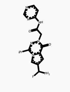 CC(C)c1nn(CC(=O)Nc2ccncn2)c(=O)c2cc(C(F)P)cn12